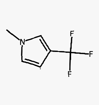 Cn1c[c]c(C(F)(F)F)c1